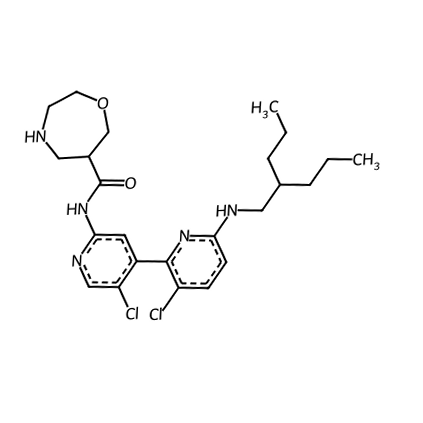 CCCC(CCC)CNc1ccc(Cl)c(-c2cc(NC(=O)C3CNCCOC3)ncc2Cl)n1